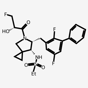 CCS(=O)(=O)N[C@H]1[C@@H](Cc2cc(F)cc(-c3ccccc3)c2F)N(C(=O)[C@H](O)CF)CC12CC2